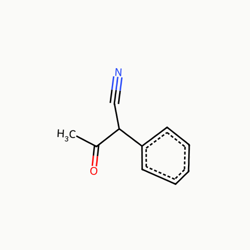 CC(=O)C(C#N)c1ccccc1